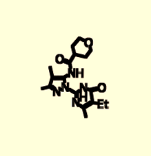 CCc1c(C)nc(-n2nc(C)c(C)c2NC(=O)C2CCOCC2)[nH]c1=O